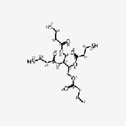 CCCC(=O)OCC(OC(=O)CCS)C(COC(=O)CCS)OC(=O)CCS